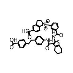 O=C(O)c1ccc(CCc2ccc(NC(=O)c3c(NC(=O)c4cccc(S(=O)(=O)N5CCc6cc(C(=O)O)ccc65)c4)sc4c3CCCC4)cc2)cc1